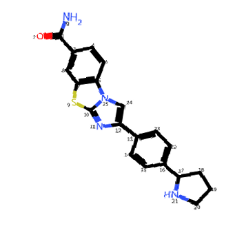 NC(=O)c1ccc2c(c1)sc1nc(-c3ccc(C4CCCN4)cc3)cn12